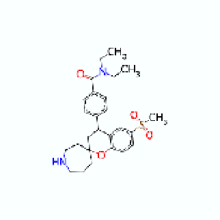 CCN(CC)C(=O)c1ccc(C2CC3(CCCNCC3)Oc3ccc(S(C)(=O)=O)cc32)cc1